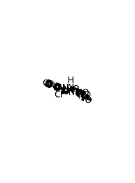 COC(=O)C(C)n1ccc(Oc2nc3cc(Cl)c(-c4ccc(N5CCOCC5)cc4)nc3[nH]2)cc1=O